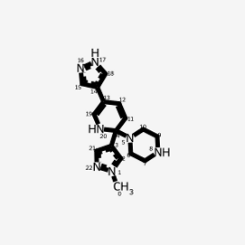 Cn1cc(C2(N3CCNCC3)C=CC(c3cn[nH]c3)=CN2)cn1